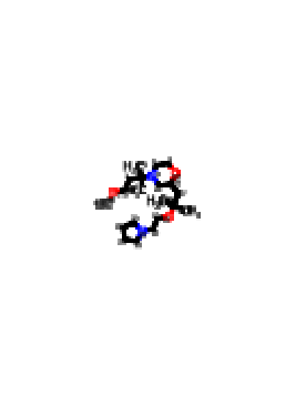 CC(C)(C)OCCC(C)(C)N1CCOC(CC(C)(C)OCCN2CCCC2)C1